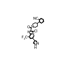 N#Cc1ccccc1C1CCN(C(=O)c2nc3c(C(F)(F)F)cc(-c4cn[nH]c4)cn3c2Cl)CC1